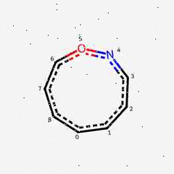 c1cccnoccc1